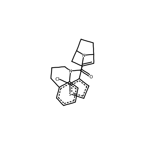 O=C(N1CCCc2ccccc21)N1C2C=C(c3ccsc3Cl)CC1CC2